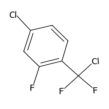 Fc1cc(Cl)ccc1C(F)(F)Cl